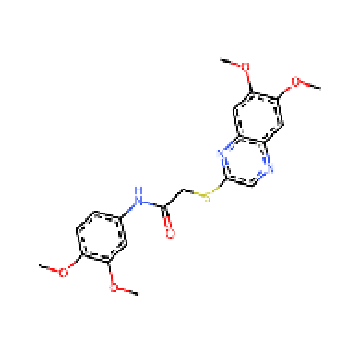 COc1ccc(NC(=O)CSc2cnc3cc(OC)c(OC)cc3n2)cc1OC